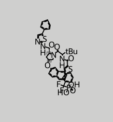 CC(C)(C)C(NC(=O)c1cc2cc(C(F)(F)P(=O)(O)O)ccc2s1)C(=O)N1C[C@@H](Oc2ccc3ccccc3c2)C[C@H]1C(=O)Nc1ncc(-c2ccccc2)s1